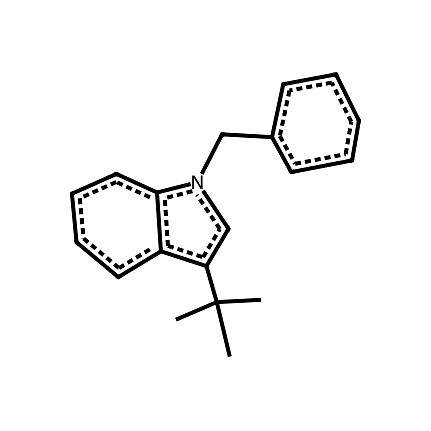 CC(C)(C)c1cn(Cc2ccccc2)c2ccccc12